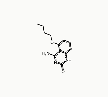 CCCCOc1cccc2[nH]c(=O)nc(N)c12